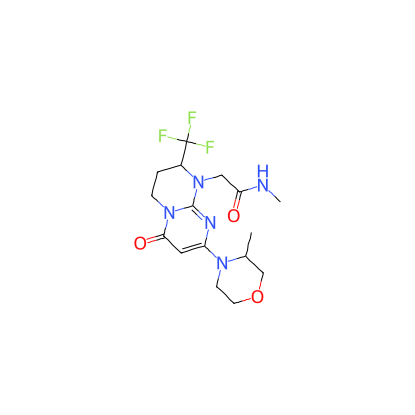 CNC(=O)CN1c2nc(N3CCOCC3C)cc(=O)n2CCC1C(F)(F)F